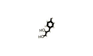 Cc1ccc(CC(O)CO)cc1